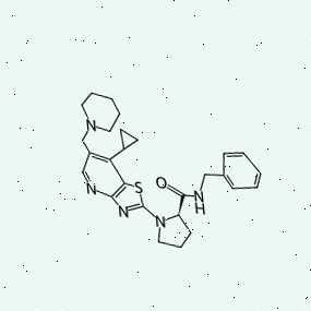 O=C(NCc1ccccc1)[C@H]1CCCN1c1nc2ncc(CN3CCCCC3)c(C3CC3)c2s1